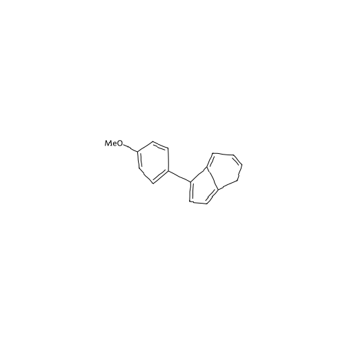 COc1ccc(C2=CC=C3CC=CC=C32)cc1